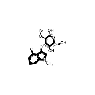 Cn1cc(O[C@H]2[C@H](O)[C@@H](CO)O[C@@H](O)[C@@H]2OBr)c2c(Cl)cccc21